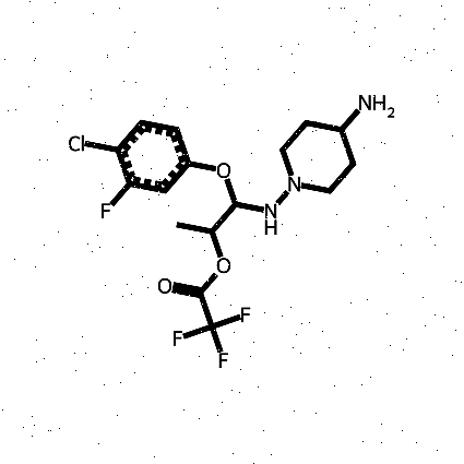 CC(OC(=O)C(F)(F)F)C(NN1CCC(N)CC1)Oc1ccc(Cl)c(F)c1